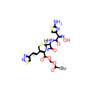 CC(C)(C)C(=O)OCOC(=O)C1=C(/C=C/c2csnn2)CS[C@H]2C(NC(=O)/C(=N\O)c3csc(N)n3)C(=O)N12